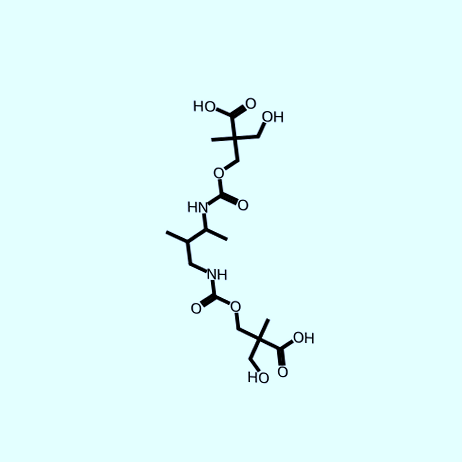 CC(CNC(=O)OCC(C)(CO)C(=O)O)C(C)NC(=O)OCC(C)(CO)C(=O)O